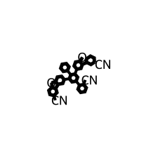 N#Cc1ccc2oc3ccc(-c4cc(-c5ccccc5C#N)cc(-c5ccc6oc7ccc(C#N)cc7c6c5)c4-c4ccccc4)cc3c2c1